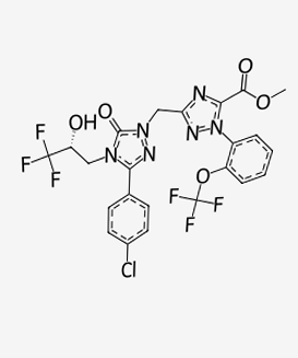 COC(=O)c1nc(Cn2nc(-c3ccc(Cl)cc3)n(C[C@@H](O)C(F)(F)F)c2=O)nn1-c1ccccc1OC(F)(F)F